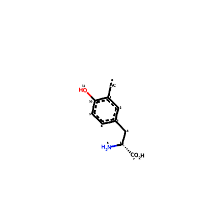 CC(=O)c1cc(C[C@@H](N)C(=O)O)ccc1O